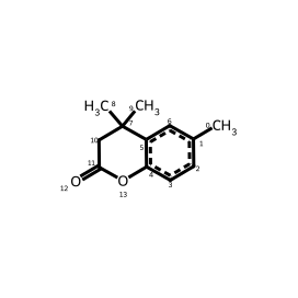 Cc1ccc2c(c1)C(C)(C)CC(=O)O2